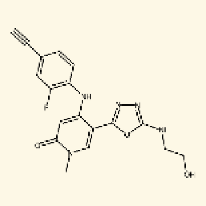 C#Cc1ccc(Nc2cc(=O)n(C)cc2-c2nnc(NCCO)o2)c(F)c1